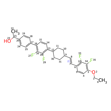 CCOc1ccc(/C=C/C2CCC(c3ccc(-c4ccc(C(C)O)cc4)c(F)c3F)CC2)c(F)c1F